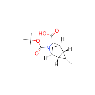 C[C@H]1[C@H]2[C@H]3C[C@@H]([C@@H]12)N(C(=O)OC(C)(C)C)[C@@H]3C(=O)O